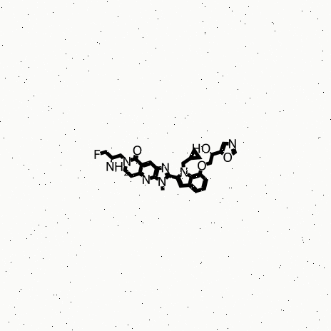 Cn1c(-c2cc3cccc(OC[C@H](O)c4cnco4)c3n2CC2CC2)nc2cc3c(nc21)CCN(C[C@H](N)CF)C3=O